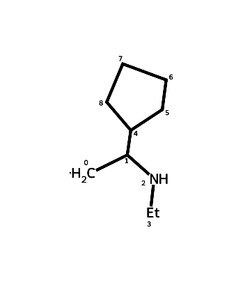 [CH2]C(NCC)C1CCCC1